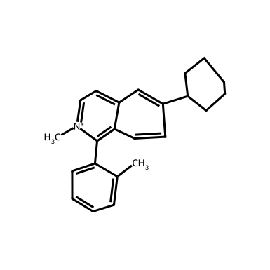 Cc1ccccc1-c1c2ccc(C3CCCCC3)cc2cc[n+]1C